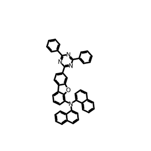 c1ccc(-c2nc(-c3ccccc3)nc(-c3ccc4c(c3)oc3c(N(c5cccc6ccccc56)c5cccc6ccccc56)cccc34)n2)cc1